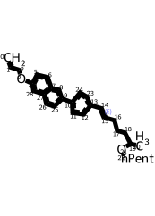 C=CCOc1ccc2cc(-c3ccc(/C=C/CCCC(C)OCCCCC)cc3)ccc2c1